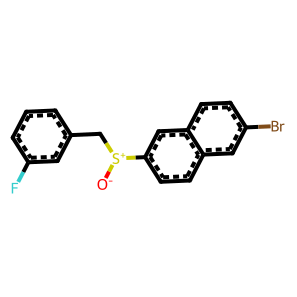 [O-][S+](Cc1cccc(F)c1)c1ccc2cc(Br)ccc2c1